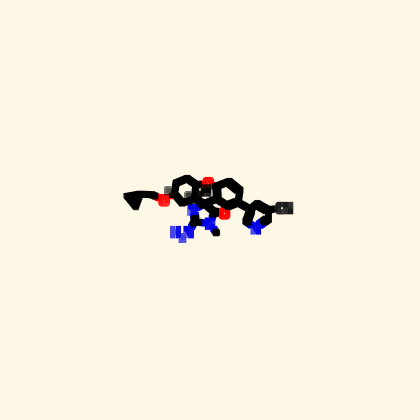 CN1C(=O)C2(N=C1N)c1cc(-c3cncc(C#N)c3)ccc1OC1CC[C@@H](OCC3CC3)C[C@@H]12